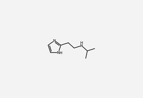 CC(C)NCCc1ncc[nH]1